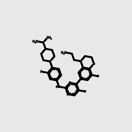 CCCN1CCOc2c(F)cc(-c3nc(Nc4ccc(N5CCC(N(C)C)CC5)c(F)c4)ncc3F)cc21